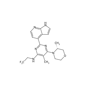 Cc1c(NCC(F)(F)F)nc(-c2ccnc3[nH]ccc23)nc1N1CCOC[C@H]1C